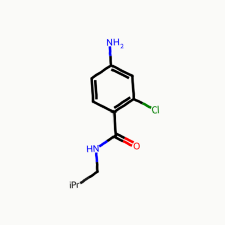 CC(C)CNC(=O)c1ccc(N)cc1Cl